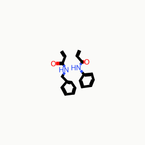 C=CC(=O)NCc1ccccc1.C=CC(=O)Nc1ccccc1